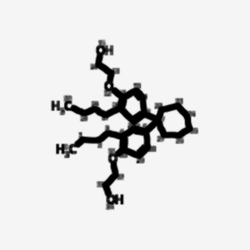 CCCCc1cc(C2(c3ccc(OCCO)c(CCCC)c3)CCCCCC2)ccc1OCCO